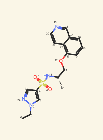 CCn1cc(S(=O)(=O)N[C@@H](C)COc2cccc3cnccc23)cn1